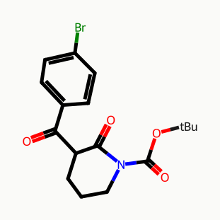 CC(C)(C)OC(=O)N1CCCC(C(=O)c2ccc(Br)cc2)C1=O